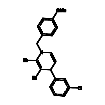 CCC1=C(CC)N(Cc2ccc(OC)cc2)C=CC1c1cccc(Cl)c1